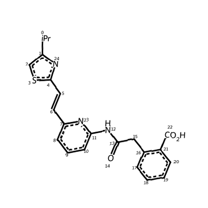 CC(C)c1csc(C=Cc2cccc(NC(=O)Cc3ccccc3C(=O)O)n2)n1